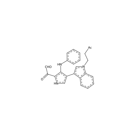 CC(=O)CCn1cc(-c2c[nH]c(C(=O)C=O)c2Nc2ccccc2)c2ccccc21